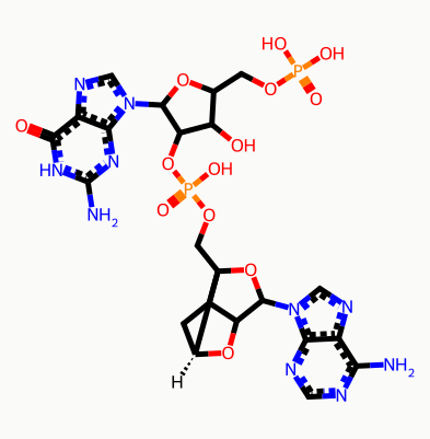 Nc1nc2c(ncn2C2OC(COP(=O)(O)O)C(O)C2OP(=O)(O)OCC23OC(n4cnc5c(N)ncnc54)C4O[C@H]2CC43)c(=O)[nH]1